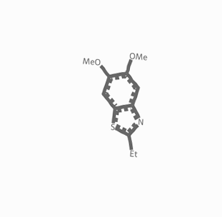 CCc1nc2cc(OC)c(OC)cc2s1